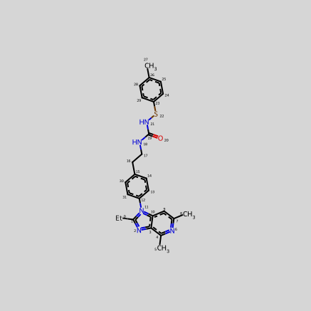 CCc1nc2c(C)nc(C)cc2n1-c1ccc(CCNC(=O)NSc2ccc(C)cc2)cc1